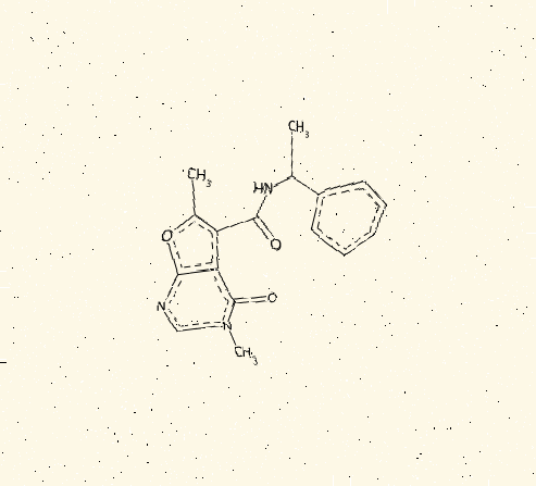 Cc1oc2ncn(C)c(=O)c2c1C(=O)NC(C)c1ccccc1